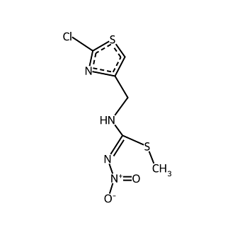 CSC(=N[N+](=O)[O-])NCc1csc(Cl)n1